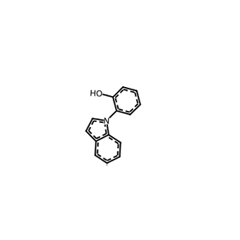 Oc1ccccc1-n1ccc2c[c]ccc21